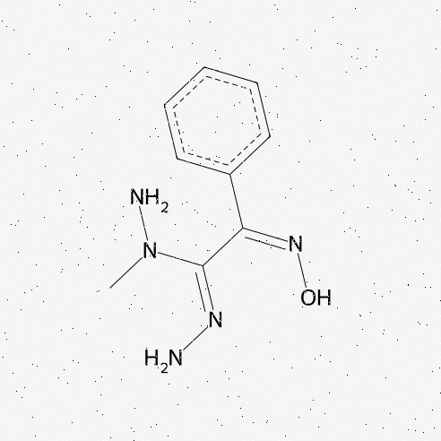 CN(N)C(=N\N)/C(=N\O)c1ccccc1